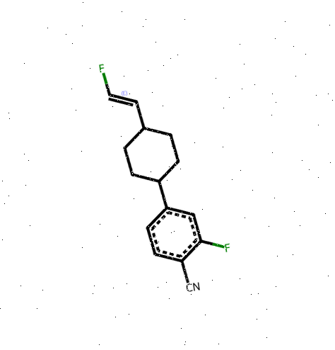 N#Cc1ccc(C2CCC(/C=C/F)CC2)cc1F